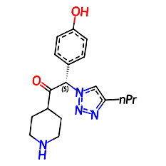 CCCc1cn([C@H](C(=O)C2CCNCC2)c2ccc(O)cc2)nn1